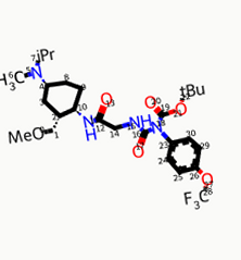 COC[C@@H]1C[C@H](N(C)C(C)C)CC[C@@H]1NC(=O)CNC(=O)N(C(=O)OC(C)(C)C)c1ccc(OC(F)(F)F)cc1